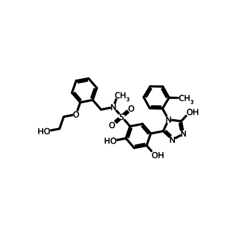 Cc1ccccc1-n1c(O)nnc1-c1cc(S(=O)(=O)N(C)Cc2ccccc2OCCO)c(O)cc1O